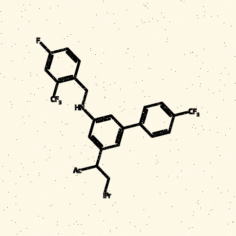 CC(=O)C(CC(C)C)c1cc(NCc2ccc(F)cc2C(F)(F)F)cc(-c2ccc(C(F)(F)F)cc2)c1